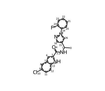 CC(NC(=O)c1cc2cc(Cl)ccc2[nH]1)c1cnn(-c2ccccc2F)c1